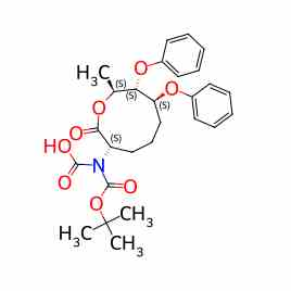 C[C@@H]1OC(=O)[C@@H](N(C(=O)O)C(=O)OC(C)(C)C)CCC[C@H](Oc2ccccc2)[C@H]1Oc1ccccc1